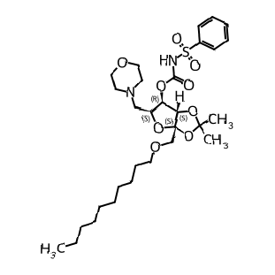 CCCCCCCCCCOC[C@@]12O[C@@H](CN3CCOCC3)[C@@H](OC(=O)NS(=O)(=O)c3ccccc3)[C@@H]1OC(C)(C)O2